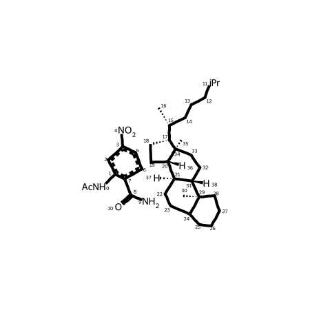 CC(=O)Nc1cc([N+](=O)[O-])ccc1C(N)=O.CC(C)CCC[C@@H](C)[C@H]1CC[C@H]2[C@@H]3CCC4CCCC[C@]4(C)[C@H]3CC[C@]12C